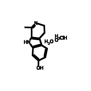 CC1=NCCc2c1[nH]c1cc(O)ccc21.Cl.O.O